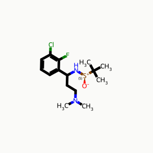 CN(C)CCC(N[S@+]([O-])C(C)(C)C)c1cccc(Cl)c1F